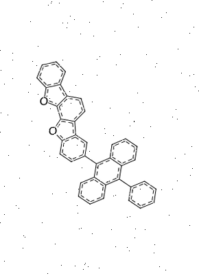 c1ccc(-c2c3ccccc3c(-c3ccc4oc5c(ccc6c7ccccc7oc65)c4c3)c3ccccc23)cc1